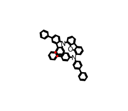 c1ccc(-c2ccc(N(c3ccc(-c4ccccc4)cc3)c3cccc4c3oc3c(-n5c6ccccc6c6cc(-c7ccccc7)ccc65)cccc34)cc2)cc1